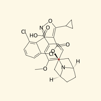 COc1cc(C(=O)O)ccc1N1[C@@H]2CC[C@H]1C[C@@H](OC(=O)c1c(-c3c(Cl)cccc3Cl)noc1C1CC1)C2